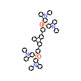 O=P(c1ccc(-c2ccc3c4ccc(-c5ccc(P(=O)(c6ccc7c(c6)c6ccccc6n7-c6ccccc6)c6ccc7c(c6)c6ccccc6n7-c6ccccc6)cc5)cc4c4ccccc4c3c2)cc1)(c1ccc2c(c1)c1ccccc1n2-c1ccccc1)c1ccc2c(c1)c1ccccc1n2-c1ccccc1